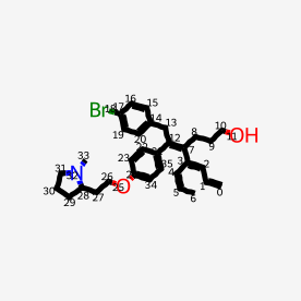 C=C/C=C(\C=C/C)C(/CCCO)=C(/Cc1ccc(Br)cc1)c1ccc(OCCC2CCCN2C)cc1